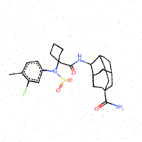 Cc1ccc(N([SH](=O)=O)C2(C(=O)NC3C4CC5CC3CC(C(N)=O)(C5)C4)CCC2)cc1F